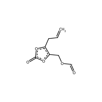 C=CCc1oc(=O)oc1CO[C]=O